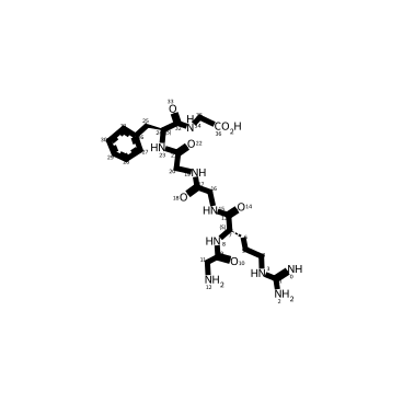 N=C(N)NCCC[C@H](NC(=O)CN)C(=O)NCC(=O)NCC(=O)N[C@@H](Cc1ccccc1)C(=O)NCC(=O)O